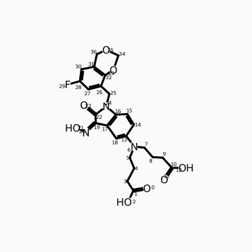 O=C(O)CCCN(CCCC(=O)O)c1ccc2c(c1)/C(=N/O)C(=O)N2Cc1cc(F)cc2c1OCOC2